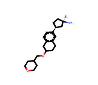 CC[C@@]1(N)CC[C@H](c2ccc3c(c2)CCC(OCC2CCOCC2)C3)C1